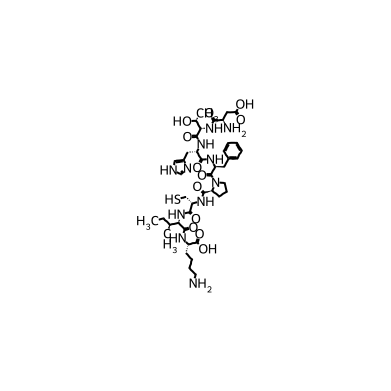 CC[C@H](C)[C@H](NC(=O)[C@H](CS)NC(=O)[C@@H]1CCCN1C(=O)[C@H](Cc1ccccc1)NC(=O)[C@H](Cc1c[nH]cn1)NC(=O)[C@@H](NC(=O)[C@@H](N)CC(=O)O)[C@@H](C)O)C(=O)N[C@@H](CCCCN)C(=O)O